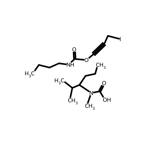 CCCC(C(C)C)N(C)C(=O)O.CCCCNC(=O)OC#CCI